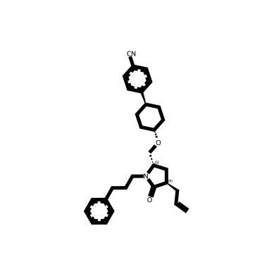 C=CC[C@@H]1C[C@@H](CO[C@H]2CC[C@H](c3ccc(C#N)cc3)CC2)N(CCCc2ccccc2)C1=O